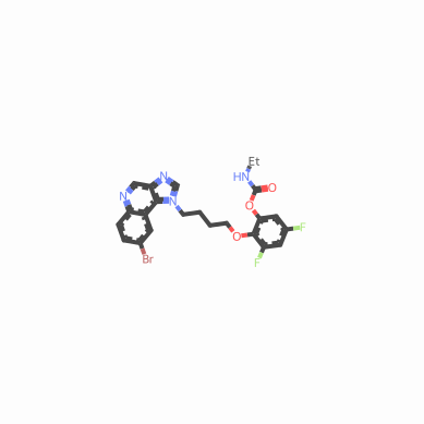 CCNC(=O)Oc1cc(F)cc(F)c1OCCCCn1cnc2cnc3ccc(Br)cc3c21